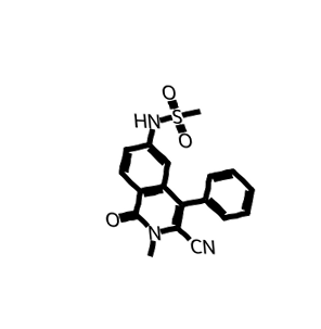 Cn1c(C#N)c(-c2ccccc2)c2cc(NS(C)(=O)=O)ccc2c1=O